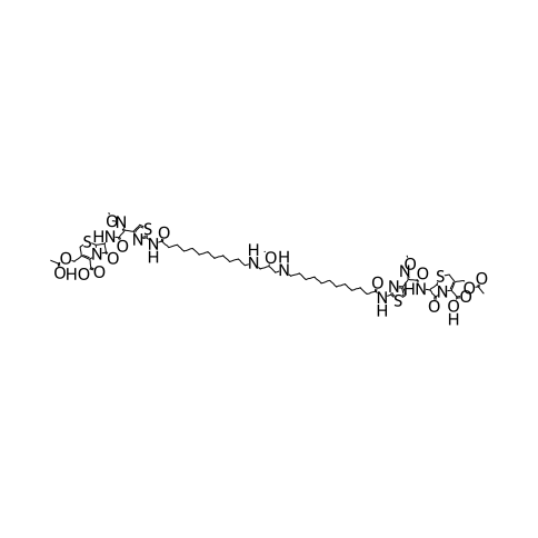 CO/N=C(\C(=O)NC1C(=O)N2C(C(=O)O)=C(COC(C)=O)CSC12)c1csc(NC(=O)CCCCCCCCCCCNCC(CNCCCCCCCCCCCC(=O)Nc2nc(/C(=N/OC)C(=O)NC3C(=O)N4C(C(=O)O)=C(COC(C)=O)CSC34)cs2)OC)n1